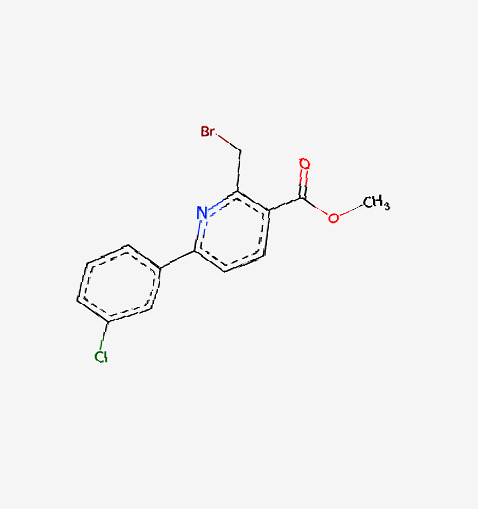 COC(=O)c1ccc(-c2cccc(Cl)c2)nc1CBr